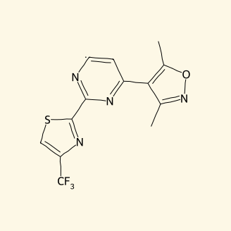 Cc1noc(C)c1-c1c[c]nc(-c2nc(C(F)(F)F)cs2)n1